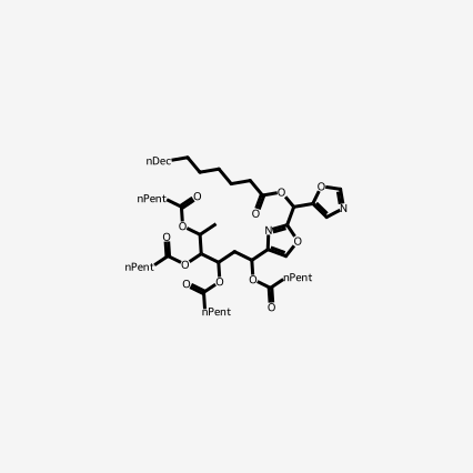 CCCCCCCCCCCCCCCC(=O)OC(c1cnco1)c1nc(C(CC(OC(=O)CCCCC)C(OC(=O)CCCCC)C(C)OC(=O)CCCCC)OC(=O)CCCCC)co1